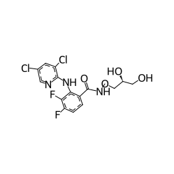 O=C(NOC[C@@H](O)CO)c1ccc(F)c(F)c1Nc1ncc(Cl)cc1Cl